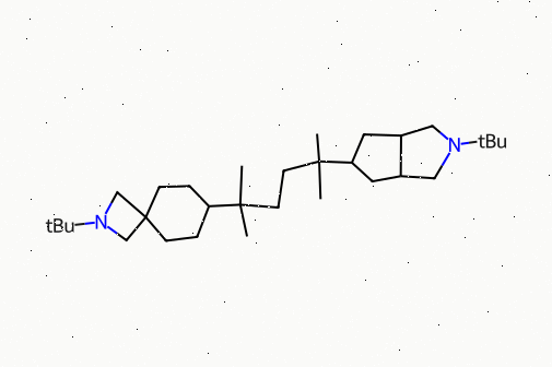 CC(C)(CCC(C)(C)C1CC2CN(C(C)(C)C)CC2C1)C1CCC2(CC1)CN(C(C)(C)C)C2